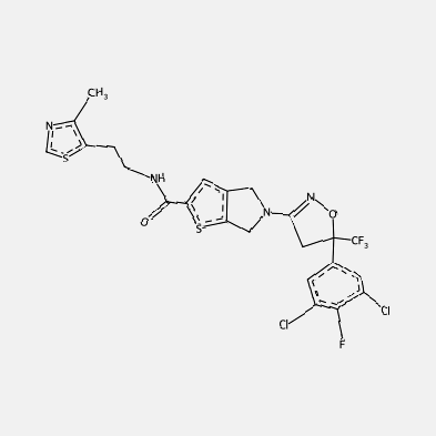 Cc1ncsc1CCNC(=O)c1cc2c(s1)CN(C1=NOC(c3cc(Cl)c(F)c(Cl)c3)(C(F)(F)F)C1)C2